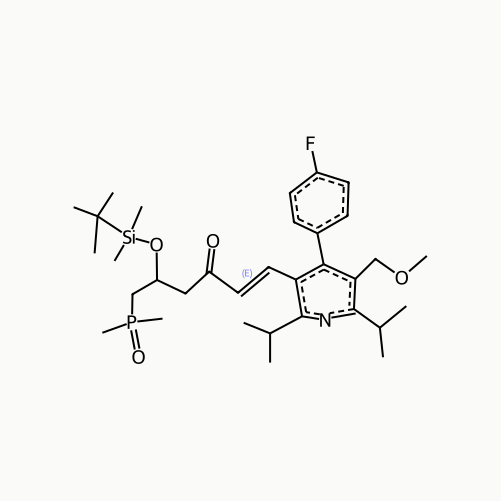 COCc1c(C(C)C)nc(C(C)C)c(/C=C/C(=O)CC(CP(C)(C)=O)O[Si](C)(C)C(C)(C)C)c1-c1ccc(F)cc1